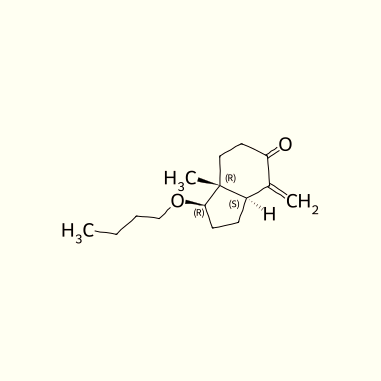 C=C1C(=O)CC[C@]2(C)[C@@H]1CC[C@H]2OCCCC